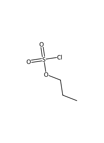 CCCOS(=O)(=O)Cl